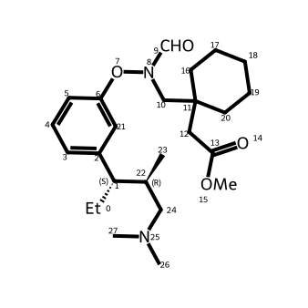 CC[C@H](c1cccc(ON(C=O)CC2(CC(=O)OC)CCCCC2)c1)[C@@H](C)CN(C)C